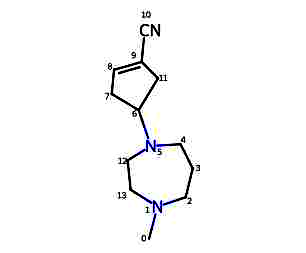 CN1CCCN(C2CC=C(C#N)C2)CC1